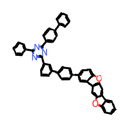 c1ccc(-c2ccc(-c3nc(-c4ccccc4)nc(-c4cccc(-c5ccc(-c6ccc7oc8cc9c(cc8c7c6)oc6ccccc69)cc5)c4)n3)cc2)cc1